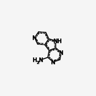 Nc1ncnc2[nH]c3ccncc3c12